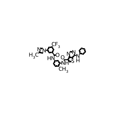 Cc1cn(-c2cc(C(=O)Nc3ccc(C)c(NC(=O)c4csc5c(Nc6ccccc6)ncnc45)c3)cc(C(F)(F)F)c2)cn1